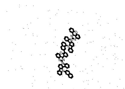 c1ccc2c(c1)Oc1cccc3nc(-n4c5ccccc5c5c4ccc4c6ccccc6n(-c6cccc7ccc(-c8cccc9c8Oc8cccc%10nc(-n%11c%12ccccc%12c%12c%11ccc%11c%13ccccc%13n(-c%13ccc%14ccccc%14c%13)c%11%12)nc-9c8%10)cc67)c45)nc-2c13